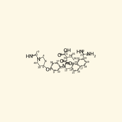 CC(=N)N1CCC(Oc2ccc(N(Cc3ccc4ccc(C(=N)N)cc4c3)S(=O)(=O)C(C(=O)O)C(C)C)cc2)CC1